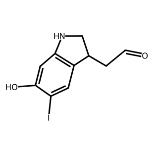 O=CCC1CNc2cc(O)c(I)cc21